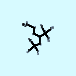 [CH2]CCC(CC(F)(F)F)C(F)(F)F